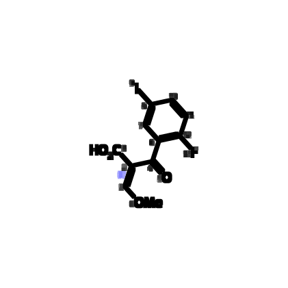 CO/C=C(/C(=O)O)C(=O)c1cc(I)ccc1F